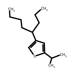 CCCCC(CCC)c1csc(C(C)C)c1